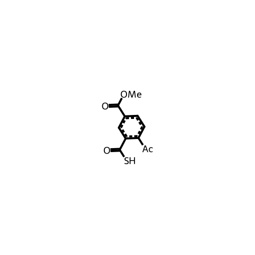 COC(=O)c1ccc(C(C)=O)c(C(=O)S)c1